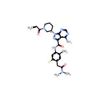 C=CC(=O)N1CCC[C@@H](n2nc(C(=O)Nc3cc(F)c(CC(=O)N(C)C)cc3C)c3c(N)ncnc32)C1